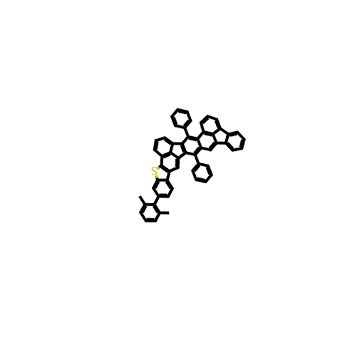 Cc1cccc(C)c1-c1ccc2c(c1)sc1c2cc2c3c(-c4ccccc4)c4cc5c6ccccc6c6cccc(c4c(-c4ccccc4)c3c3cccc1c23)c65